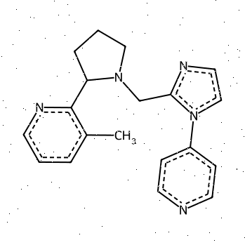 Cc1cccnc1C1CCCN1Cc1nccn1-c1ccncc1